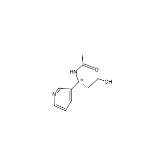 CC(=O)N[C@H](CCO)c1cccnc1